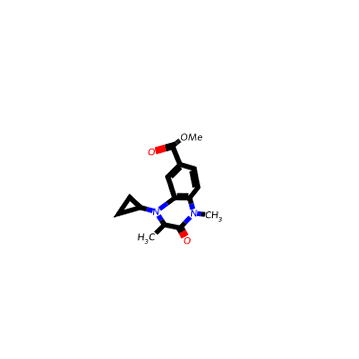 COC(=O)c1ccc2c(c1)N(C1CC1)C(C)C(=O)N2C